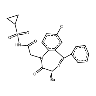 CCC(C)[C@@H]1N=C(c2ccccc2)c2cc(Cl)ccc2N(CC(=O)NS(=O)(=O)C2CC2)C1=O